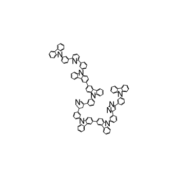 C1=NC=C(c2cccc(-n3c4ccccc4c4cc(-c5ccc6c(c5)c5ccccc5n6-c5cccc(-c6cccc(-c7cccc(-n8c9ccccc9c9ccccc98)c7)n6)c5)ccc43)c2)CC1c1cccc(-n2c3ccccc3c3cc(-c4ccc5c(c4)c4ccccc4n5-c4cccc(-c5cc(-c6cccc(-n7c8ccccc8c8ccccc87)c6)ncn5)c4)ccc32)c1